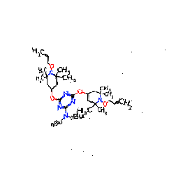 C=CCON1C(C)(C)CC(Oc2nc(OC3CC(C)(C)N(OCC=C)C(C)(C)C3)nc(N(CCCC)CCCC)n2)CC1(C)C